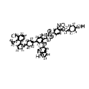 O=C(NS(=O)(=O)c1ccc(OCC2CCC(O)CC2)c([N+](=O)[O-])c1)c1ccc(C2=CCC(N3CCCC3c3cccc(Cl)c3C3CC3)CC2)cc1Oc1cnc2[nH]ccc2c1